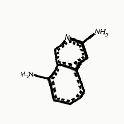 Nc1cc2cccc(N)c2cn1